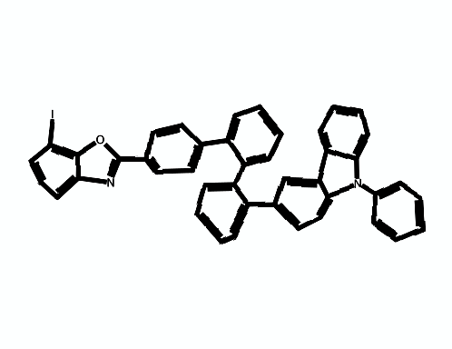 Ic1cccc2nc(-c3ccc(-c4ccccc4-c4ccccc4-c4ccc5c(c4)c4ccccc4n5-c4ccccc4)cc3)oc12